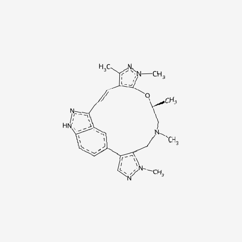 Cc1nn(C)c2c1/C=C/c1n[nH]c3ccc(cc13)-c1cnn(C)c1CN(C)C[C@H](C)O2